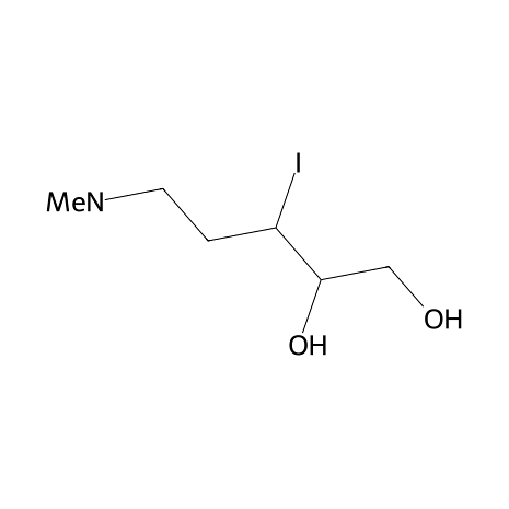 CNCCC(I)C(O)CO